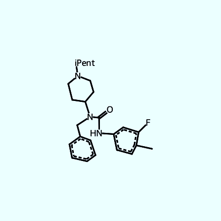 CCCC(C)N1CCC(N(Cc2ccccc2)C(=O)Nc2ccc(C)c(F)c2)CC1